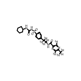 [2H]c1nc(C([2H])([2H])[2H])c([2H])nc1C(=O)NC([2H])([2H])C([2H])([2H])c1ccc(S(=O)(=O)NC(=O)NC2CCCCC2)cc1